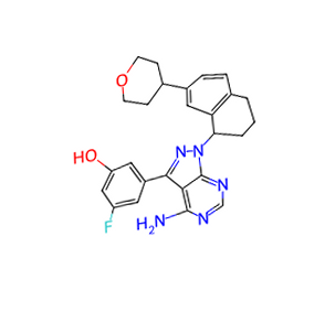 Nc1ncnc2c1c(-c1cc(O)cc(F)c1)nn2C1CCCc2ccc(C3CCOCC3)cc21